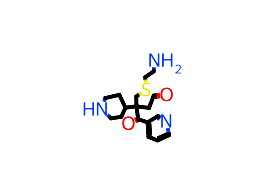 NCCSCC(CC=O)(C(=O)c1cccnc1)C1CCNCC1